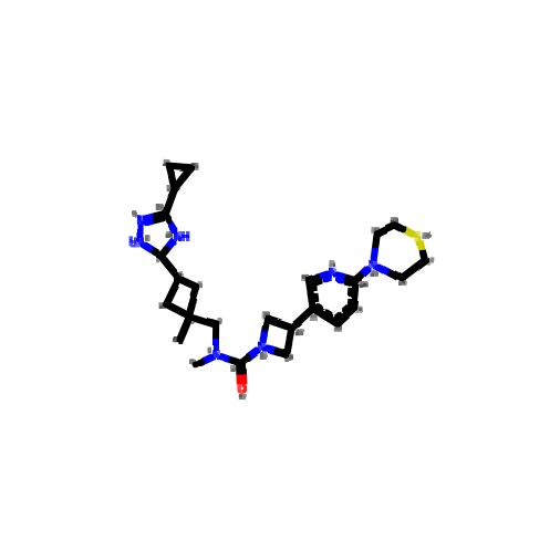 CN(CC1(C)CC(C2NN=C(C3CC3)N2)C1)C(=O)N1CC(c2ccc(N3CCSCC3)nc2)C1